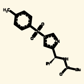 Cc1ccc(S(=O)(=O)n2cnc([C@H](N[S+]([O-])C(C)(C)C)C(C)C)c2)cc1